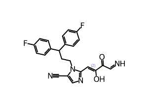 N#Cc1cnc(/C=C(\O)C(=O)C=N)n1CCC(c1ccc(F)cc1)c1ccc(F)cc1